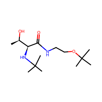 C[C@@H](O)[C@H](NC(C)(C)C)C(=O)NCCOC(C)(C)C